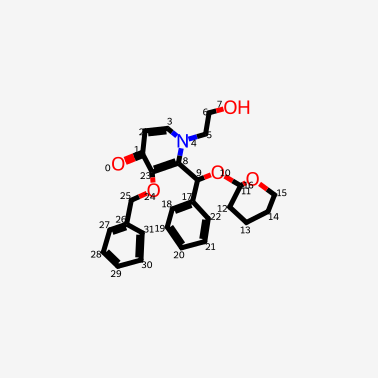 O=c1ccn(CCO)c(C(OC2CCCCO2)c2ccccc2)c1OCc1ccccc1